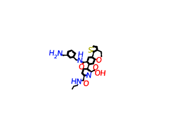 CCCNC(=O)c1ccc(-c2cc3c(cc2C(=O)NCc2cccc(CN)c2)-c2sccc2CCO3)c(C(=O)O)n1